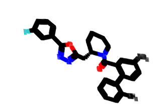 Cc1ccccc1-c1ccc([N+](=O)[O-])cc1C(=O)N1CCCC[C@H]1Cc1nnc(-c2cccc(F)c2)o1